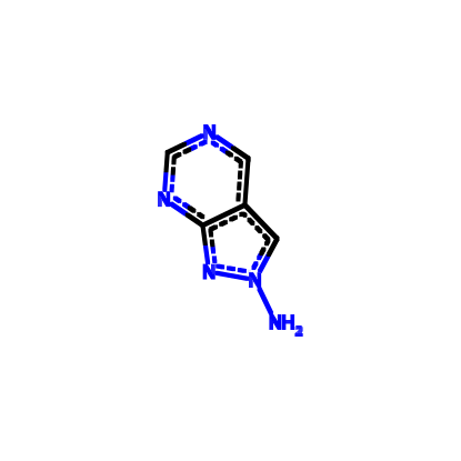 Nn1cc2cncnc2n1